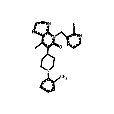 Cc1c(C2CCN(c3ccccc3C(F)(F)F)CC2)c(=O)n(Cc2nccnc2F)c2nccnc12